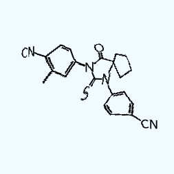 [C-]#[N+]c1ccc(N2C(=O)C3(CCCC3)N(c3ccc(C#N)cc3)C2=S)cc1C